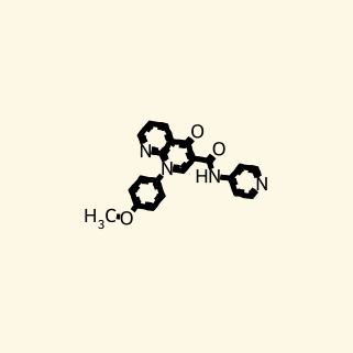 COc1ccc(-n2cc(C(=O)Nc3ccncc3)c(=O)c3cccnc32)cc1